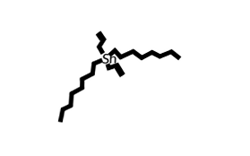 C=C[CH2][Sn]([CH2]C=C)([CH2]CCCCCCC)[CH2]CCCCCCC